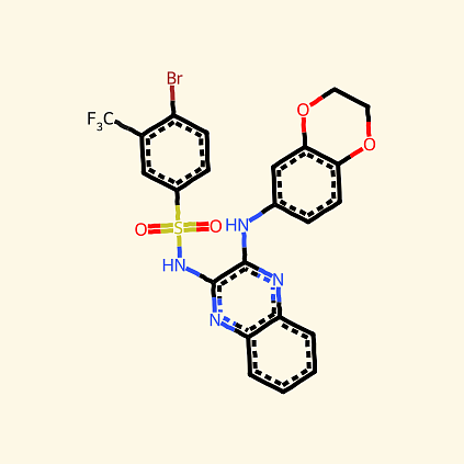 O=S(=O)(Nc1nc2ccccc2nc1Nc1ccc2c(c1)OCCO2)c1ccc(Br)c(C(F)(F)F)c1